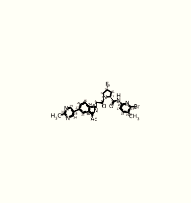 CC(=O)c1nn(CC(=O)N2C[C@H](F)C[C@H]2C(=O)Nc2ccc(C)c(Br)n2)c2ccc(-c3cnc(C)nc3)cc12